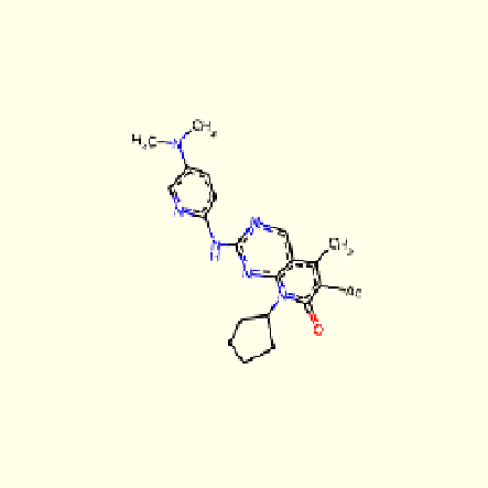 CC(=O)c1c(C)c2cnc(Nc3ccc(N(C)C)cn3)nc2n(C2CCCC2)c1=O